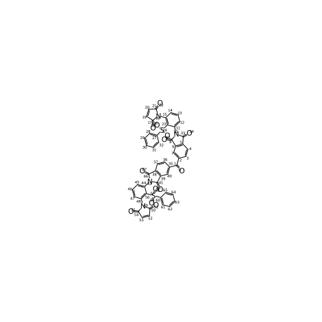 O=C(c1ccc2c(c1)C(=O)N(c1cccc(N3C(=O)C=CC3=O)c1S(=O)(=O)c1ccccc1)C2=O)c1ccc2c(c1)C(=O)N(c1cccc(N3C(=O)C=CC3=O)c1S(=O)(=O)c1ccccc1)C2=O